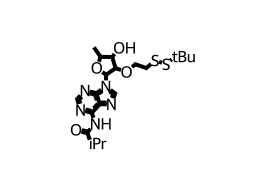 CC(C)C(=O)Nc1ncnc2c1ncn2C1OC(C)C(O)C1OCCSSC(C)(C)C